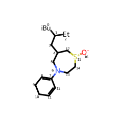 CCC(C)C(CC)CC1CN(C2=CCCC=C2)CC[S+]([O-])C1